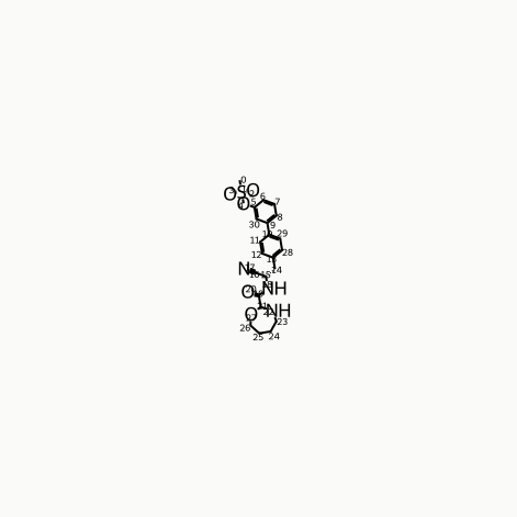 CS(=O)(=O)Oc1cccc(-c2ccc(C[C@@H](C#N)NC(=O)C3NCCCCO3)cc2)c1